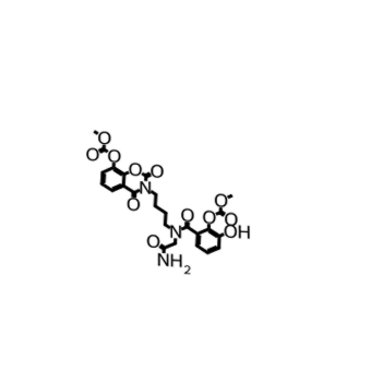 COC(=O)Oc1c(O)cccc1C(=O)N(CCCCn1c(=O)oc2c(OC(=O)OC)cccc2c1=O)CC(N)=O